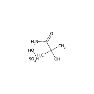 CC(C)(O)C(N)=O.O=S(=O)(O)O